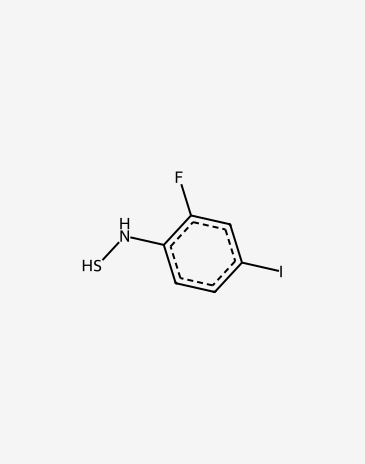 Fc1cc(I)ccc1NS